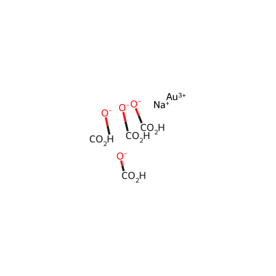 O=C([O-])O.O=C([O-])O.O=C([O-])O.O=C([O-])O.[Au+3].[Na+]